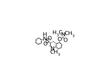 CN(C)C(=O)Oc1cccc2c1CC(S(=O)(=O)Nc1ccccc1)=CN2C